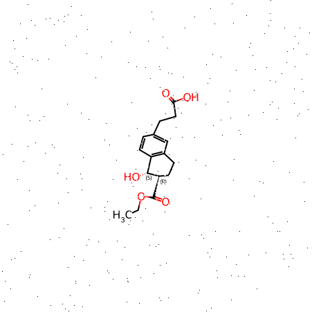 CCOC(=O)[C@@H]1CCc2cc(CCC(=O)O)ccc2[C@H]1O